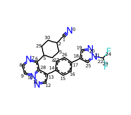 N#CC1CCC(c2nccn3ncc(-c4ccc(-c5cnn(C(F)F)c5)cc4)c23)CC1